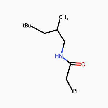 CC(C)CC(=O)NCC(C)CC(C)(C)C